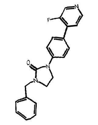 O=C1N(Cc2ccccc2)CCN1c1ccc(-c2ccncc2F)cc1